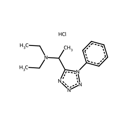 CCN(CC)C(C)c1nnnn1-c1ccccc1.Cl